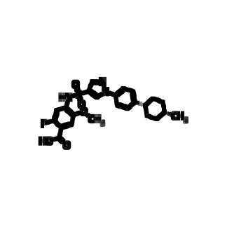 COc1cc(C(=O)O)c(F)cc1NS(=O)(=O)c1cnn(-c2ccc([C@H]3CC[C@@H](C)CC3)cc2)c1